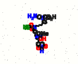 COc1cc2c(cc1CNC[C@H](O)c1ccc(O)c3[nH]c(=O)ccc13)oc(=O)n2CCCCc1ccc(-c2ccccc2)c(N(C(=O)O)[C@H]2CC[C@H](N)CC2)c1.F.F